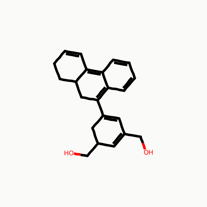 OCC1=CC(CO)CC(C2=c3ccccc3=C3C=CCCC3C2)=C1